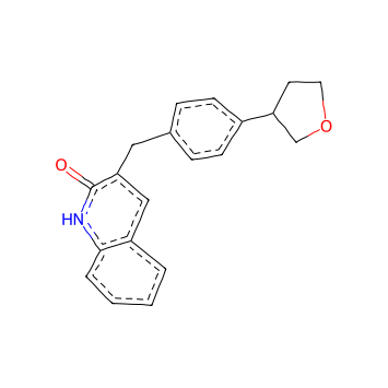 O=c1[nH]c2ccccc2cc1Cc1ccc(C2CCOC2)cc1